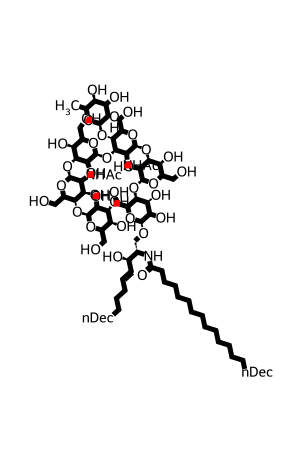 CCCCCCCCCCCCC/C=C/[C@@H](O)[C@H](CO[C@@H]1OC(CO)[C@@H](O[C@@H]2OC(CO)[C@H](O)[C@H](O[C@@H]3OC(CO)[C@@H](O[C@H]4OC(C)[C@@H](O)C(O)[C@@H]4O)[C@H](O[C@@H]4OC(CO)[C@H](O)[C@H](O[C@@H]5OC(CO)[C@@H](O[C@@H]6OC(CO)[C@H](O)[C@H](O)C6O)[C@H](O)C5NC(C)=O)C4O)C3NC(C)=O)C2O)[C@H](O)C1O)NC(=O)CCCCCCCCCCCCCCCCCCCCCCC